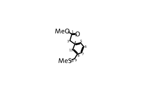 COC(=O)Cc1cccc(CSC)c1